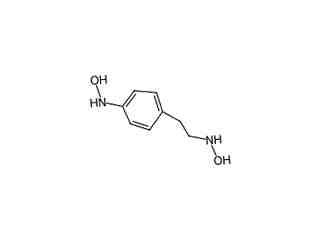 ONCCc1ccc(NO)cc1